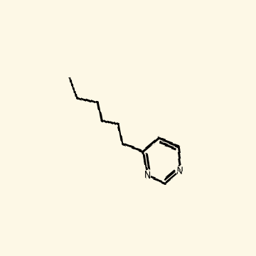 CCCCCCc1ccncn1